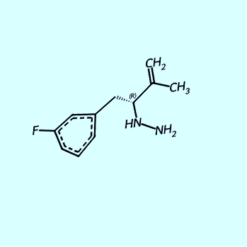 C=C(C)[C@@H](Cc1cccc(F)c1)NN